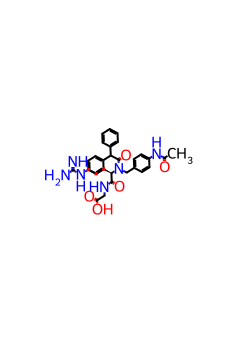 CC(=O)Nc1ccc(CN(C(=O)C(c2ccccc2)c2ccccc2)[C@H](CCCNC(=N)N)C(=O)NCC(=O)O)cc1